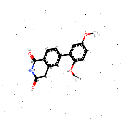 COc1ccc(OC)c(-c2ccc3c(c2)CC(=O)NC3=O)c1